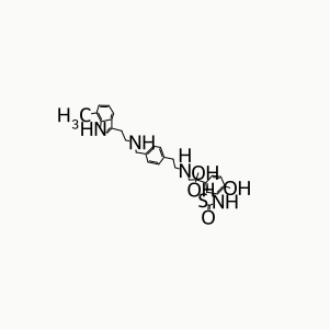 Cc1cccc2c(CCNCc3ccc(CCNCC(O)(O)c4ccc(O)c5[nH]c(=O)sc45)cc3)c[nH]c12